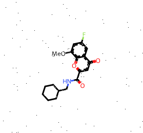 COc1cc(F)cc2c(=O)cc(C(=O)NCC3CCCCC3)oc12